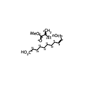 C=C(CC)C(=O)OC.CCCCCCCC/C=C\CCCCCCCC(=O)O